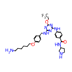 NCCCCCCOc1ccc(CNc2nc(Nc3ccc(C(=O)NC4CCNC4)cc3)nc(OCC(F)(F)F)n2)cc1